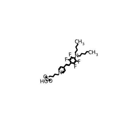 CCCCCN(CCCCC)c1c(F)c(F)c(C=Cc2cc[n+](CCCCS(=O)(=O)O)cc2)c(F)c1F